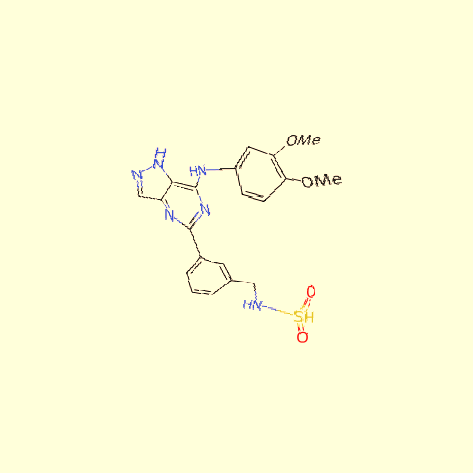 COc1ccc(Nc2nc(-c3cccc(CN[SH](=O)=O)c3)nc3cn[nH]c23)cc1OC